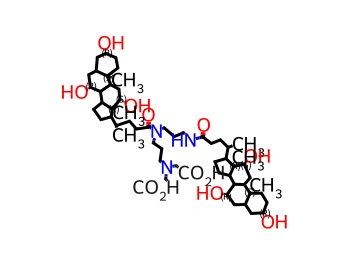 CC(CCC(=O)NCCCN(CCCN(CC(=O)O)CC(=O)O)C(=O)CCC(C)C1CCC2C3C(C[C@H](O)[C@]12C)[C@@]1(C)CC[C@@H](O)CC1C[C@H]3O)C1CCC2C3C(C[C@H](O)[C@]12C)[C@@]1(C)CC[C@@H](O)CC1C[C@H]3O